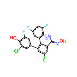 N/C(=N\O)c1cc(Cl)cc(-c2cc(F)c(O)c(Cl)c2)c1-c1cc(F)cc(F)c1